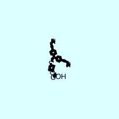 Cc1cc(SCC=C(c2ccc(C#CCN(C)C)cc2)c2ccc(C#CCN(C)C)cc2)ccc1OCC(=O)O